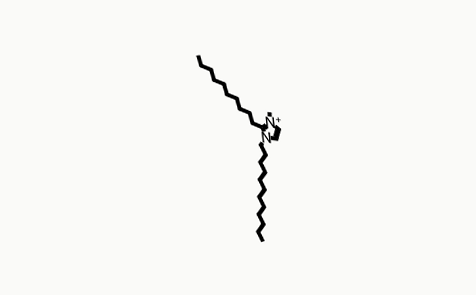 CCCCCCCCCCCCn1cc[n+](C)c1CCCCCCCCCC